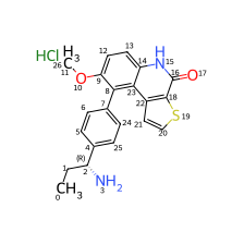 CC[C@@H](N)c1ccc(-c2c(OC)ccc3[nH]c(=O)c4sccc4c23)cc1.Cl